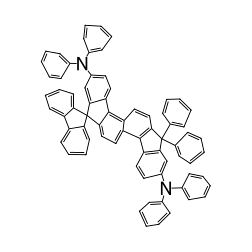 c1ccc(N(c2ccccc2)c2ccc3c(c2)C(c2ccccc2)(c2ccccc2)c2ccc4c5c(ccc4c2-3)C2(c3ccccc3-c3ccccc32)c2cc(N(c3ccccc3)c3ccccc3)ccc2-5)cc1